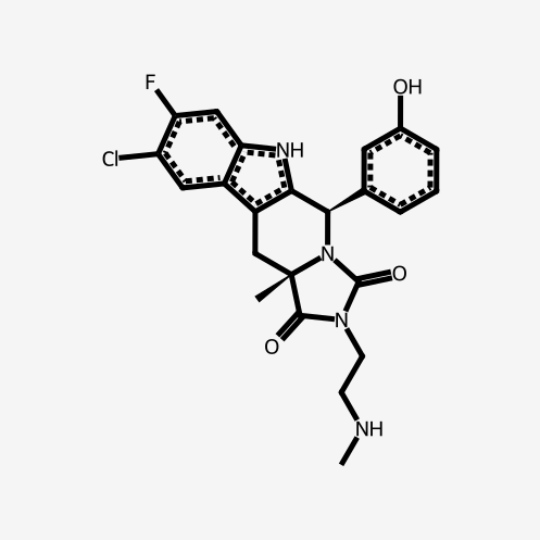 CNCCN1C(=O)N2[C@H](c3cccc(O)c3)c3[nH]c4cc(F)c(Cl)cc4c3C[C@@]2(C)C1=O